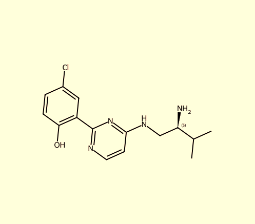 CC(C)[C@H](N)CNc1ccnc(-c2cc(Cl)ccc2O)n1